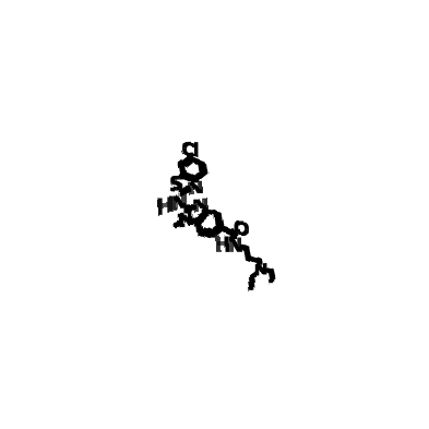 CCN(CC)CCCNC(=O)c1ccc2c(c1)nc(Nc1nc3ccc(Cl)cc3s1)n2C